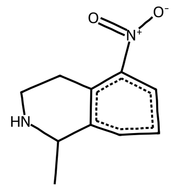 CC1NCCc2c1cccc2[N+](=O)[O-]